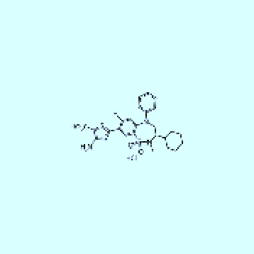 CN1[C@H](C2CCCCC2)CN(c2ccccc2)c2cc(F)c(-c3cc(N)c(C(=O)O)s3)cc2S1(=O)=O.Cl